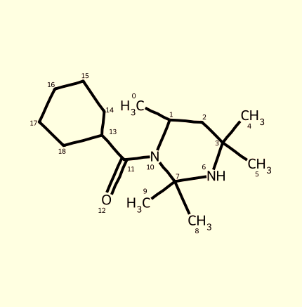 CC1CC(C)(C)NC(C)(C)N1C(=O)C1CCCCC1